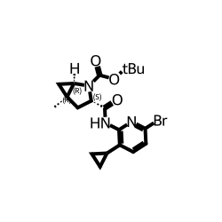 CC(C)(C)OC(=O)N1[C@H](C(=O)Nc2nc(Br)ccc2C2CC2)C[C@@]2(C)C[C@@H]12